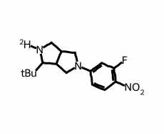 [2H]N1CC2CN(c3ccc([N+](=O)[O-])c(F)c3)CC2C1C(C)(C)C